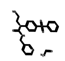 NC=O.O=C(NCc1cccnc1)N(CCO)c1ccc(S(=O)(=O)c2ccccc2)cc1